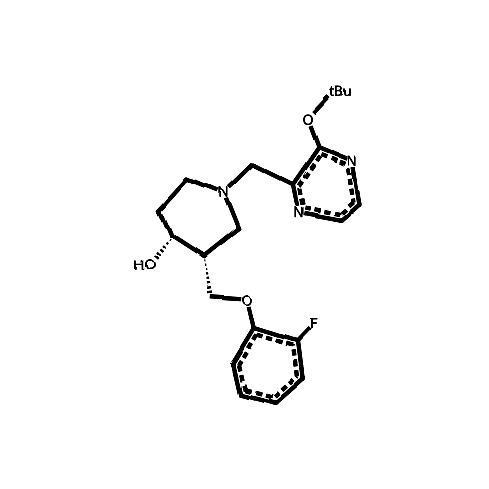 CC(C)(C)Oc1nccnc1CN1CC[C@@H](O)[C@@H](COc2ccccc2F)C1